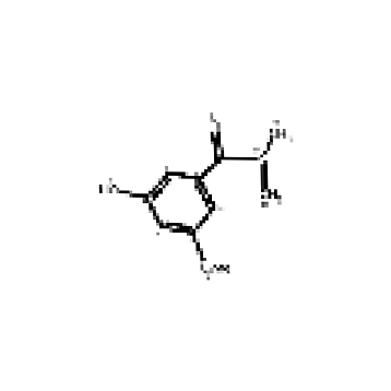 COc1cc(O)cc(C(=O)N(C)C)c1